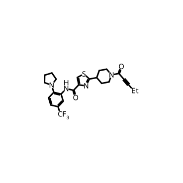 CCC#CC(=O)N1CCC(c2nc(C(=O)Nc3cc(C(F)(F)F)ccc3N3CCCC3)cs2)CC1